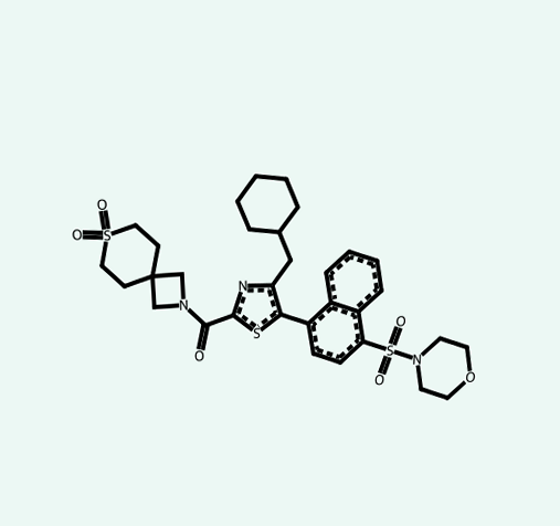 O=C(c1nc(CC2CCCCC2)c(-c2ccc(S(=O)(=O)N3CCOCC3)c3ccccc23)s1)N1CC2(CCS(=O)(=O)CC2)C1